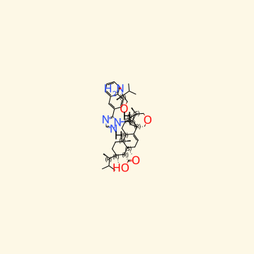 CC(C)[C@@H](C)[C@@]1(C)CC[C@]2(C)[C@H]3CC[C@@H]4[C@@]5(COC[C@@]4(C)[C@@H](OC[C@](C)(N)C(C)C)[C@H](n4ncnc4-c4ccc6ccccc6c4)C5)C3=CC[C@@]2(C)[C@@H]1C(=O)O